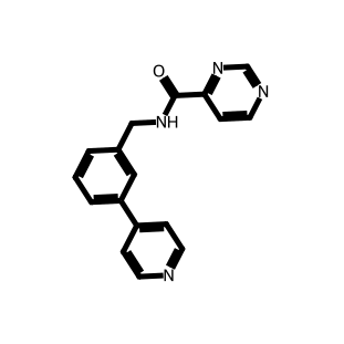 O=C(NCc1cccc(-c2ccncc2)c1)c1ccncn1